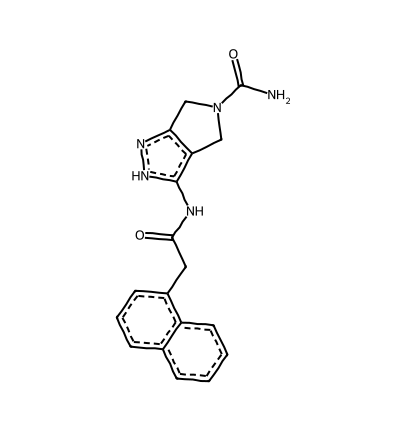 NC(=O)N1Cc2n[nH]c(NC(=O)Cc3cccc4ccccc34)c2C1